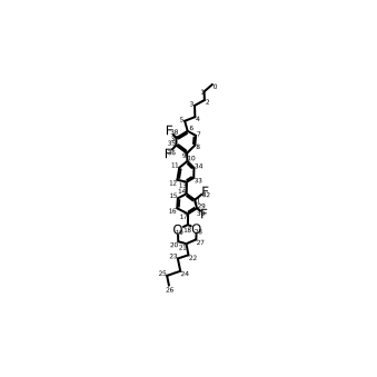 CCCCCCc1ccc(-c2ccc(-c3ccc(C4OCC(CCCCC)CO4)c(F)c3F)cc2)c(F)c1F